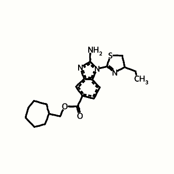 CCC1CSC(n2c(N)nc3cc(C(=O)OCC4CCCCCC4)ccc32)=N1